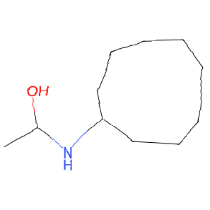 CC(O)NC1CCCCCCCC1